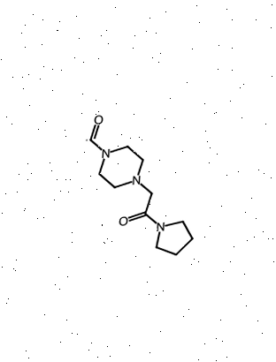 O=[C]N1CCN(CC(=O)N2CCCC2)CC1